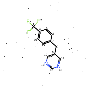 FC(F)(F)c1ccc(Cc2cncnc2)cc1